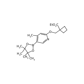 CCOC(=O)C1(COc2cc(C)c(B3OC(C)(C)C(C)(C)O3)cn2)CCC1